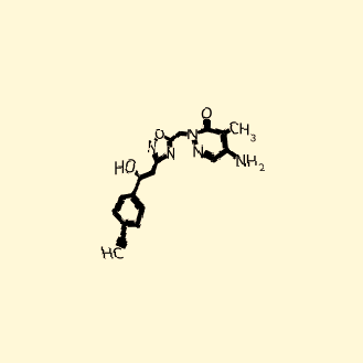 C#Cc1ccc([C@@H](O)Cc2noc(Cn3ncc(N)c(C)c3=O)n2)cc1